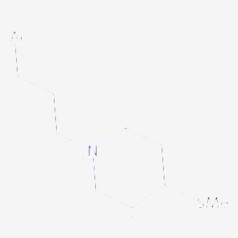 CSC1CCN(CCCC(C)=O)CC1